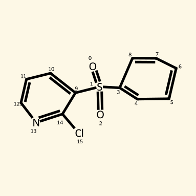 O=S(=O)(c1ccccc1)c1cc[c]nc1Cl